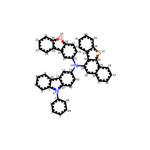 c1ccc(-n2c3ccccc3c3cc(N(c4ccc5oc6ccccc6c5c4)c4cc5ccccc5c5sc6ccccc6c45)ccc32)cc1